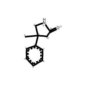 CC1(c2ccccc2)CNC(=O)C1